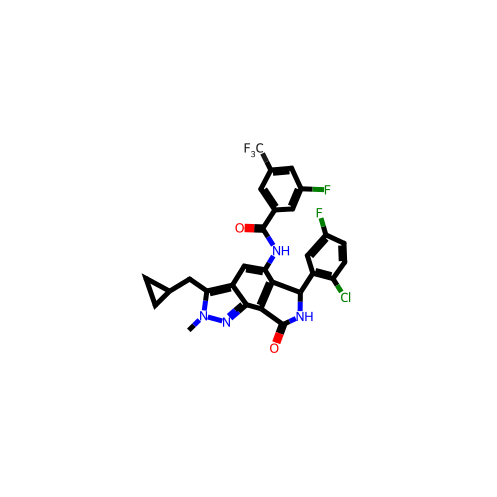 Cn1nc2c3c(c(NC(=O)c4cc(F)cc(C(F)(F)F)c4)cc2c1CC1CC1)C(c1cc(F)ccc1Cl)NC3=O